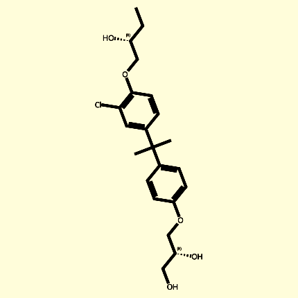 CC[C@@H](O)COc1ccc(C(C)(C)c2ccc(OC[C@H](O)CO)cc2)cc1Cl